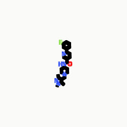 Cc1nn(C)c(C)c1CN1CCC(NC(=O)c2ccc(-c3cccc(F)c3)nc2)CC1